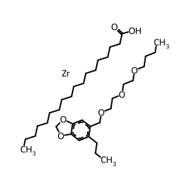 CCCCCCCCCCCCCCCCCC(=O)O.CCCCOCCOCCOCc1cc2c(cc1CCC)OCO2.[Zr]